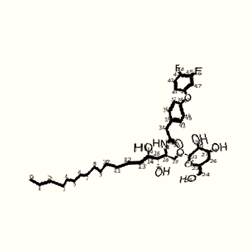 CCCCCCCCCCCCCC[C@@H](O)[C@@H](O)[C@H](CO[C@H]1OC(CO)CC(O)[C@@H]1O)NC(=O)Cc1ccc(Oc2ccc(F)c(F)c2)cc1